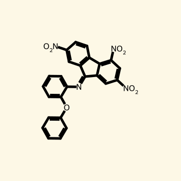 O=[N+]([O-])c1ccc2c(c1)C(=Nc1ccccc1Oc1ccccc1)c1cc([N+](=O)[O-])cc([N+](=O)[O-])c1-2